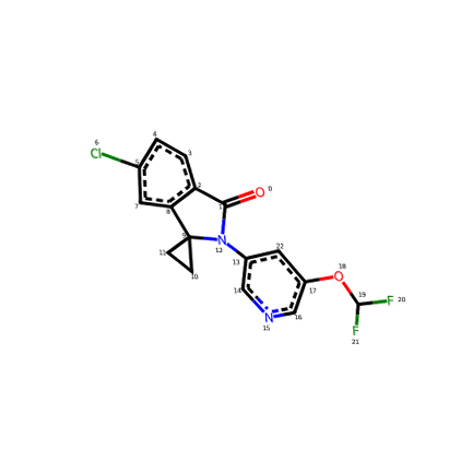 O=C1c2ccc(Cl)cc2C2(CC2)N1c1cncc(OC(F)F)c1